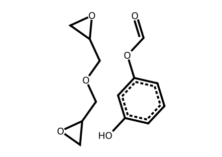 C(OCC1CO1)C1CO1.O=COc1cccc(O)c1